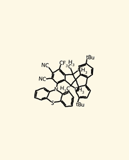 CC(C)(C)c1ccc2c(c1)C1(c3cc(C(C)(C)C)ccc3-2)C(C)(C)c2c(N3c4ccccc4Sc4ccccc43)c(C#N)c(C#N)c(C(F)(F)F)c2C1(C)C